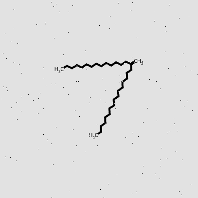 C=C(CCCCCCCCCCCCCC)CCCCCCCCCCCCCCCC